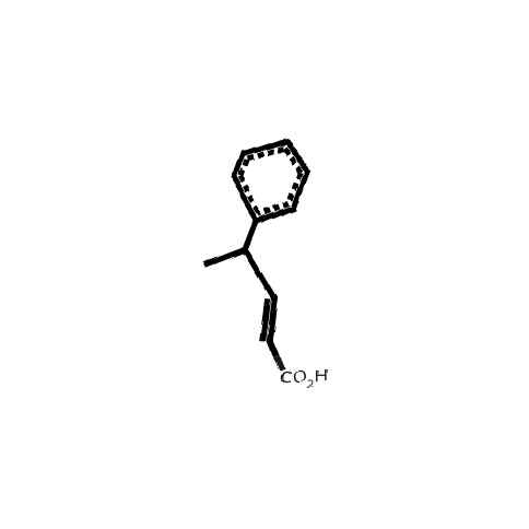 CC(C=CC(=O)O)c1ccccc1